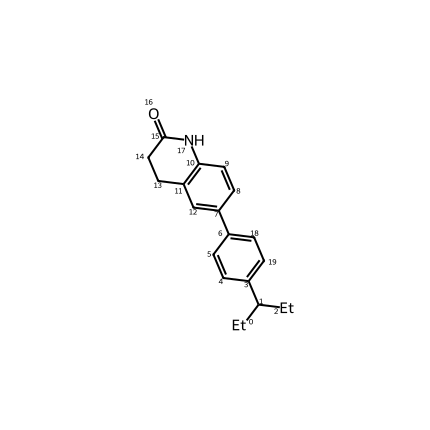 CCC(CC)c1ccc(-c2ccc3c(c2)CCC(=O)N3)cc1